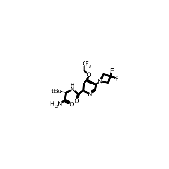 CC(C)(C)[C@H](NC(=O)c1cc(OCC(F)(F)F)c(N2CC(F)(F)C2)cn1)C(N)=O